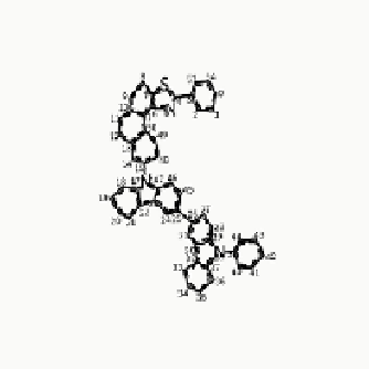 c1ccc(-c2nc3c(ccc4ccc5cc(-n6c7ccccc7c7cc(-c8ccc9c(c8)c8ccccc8n9-c8ccccc8)ccc76)ccc5c43)s2)cc1